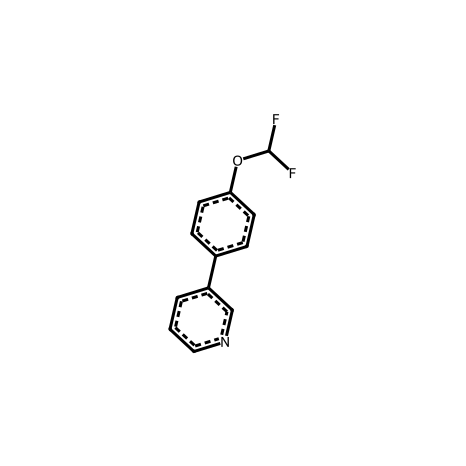 FC(F)Oc1ccc(-c2cccnc2)cc1